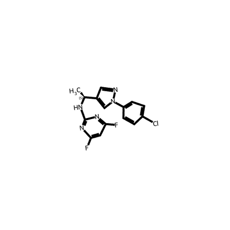 C[C@H](Nc1nc(F)cc(F)n1)c1cnn(-c2ccc(Cl)cc2)c1